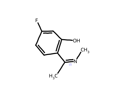 C/N=C(/C)c1ccc(F)cc1O